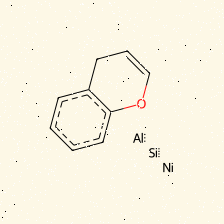 C1=COc2ccccc2C1.[Al].[Ni].[Si]